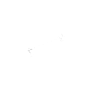 C=C(C)C(=O)OCCCCCCCCCCCSc1nnc(S)s1